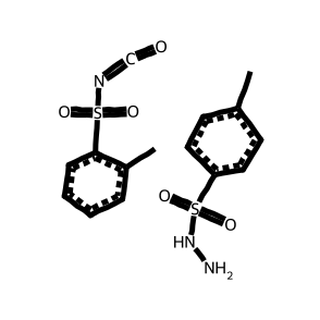 Cc1ccc(S(=O)(=O)NN)cc1.Cc1ccccc1S(=O)(=O)N=C=O